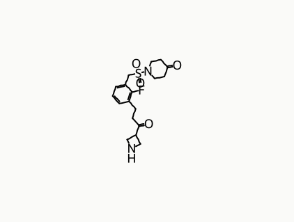 O=C1CCN(S(=O)(=O)Cc2cccc(CCC(=O)C3CNC3)c2F)CC1